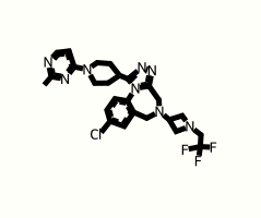 Cc1nccc(N2CCC(c3nnc4n3-c3ccc(Cl)cc3CN(C3CN(CC(F)(F)F)C3)C4)CC2)n1